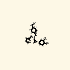 Fc1ccc([C@@H]2C[C@H]2N(Cc2ccc(CBr)cc2)Cc2ccco2)cc1F